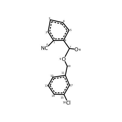 N#Cc1ccccc1C([O])OCc1cccc(Cl)c1